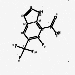 O=C(O)c1c(F)c(C(F)(F)F)cc2cc[nH]c12